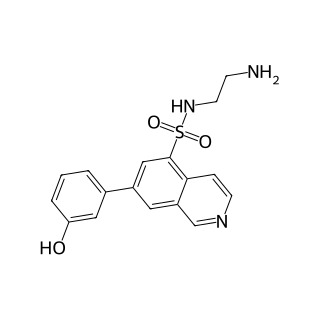 NCCNS(=O)(=O)c1cc(-c2cccc(O)c2)cc2cnccc12